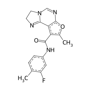 Cc1ccc(NC(=O)c2c(C)oc3c2C2=NCCN2C=N3)cc1F